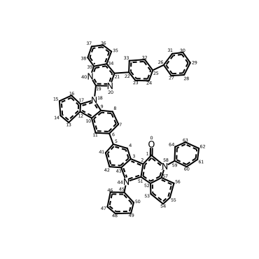 O=c1c2c3cc(-c4ccc5c(c4)c4ccccc4n5-c4nc(-c5ccc(-c6ccccc6)cc5)c5ccccc5n4)ccc3n(-c3ccccc3)c2c2ccccc2n1-c1ccccc1